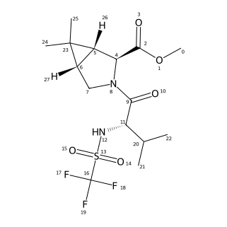 COC(=O)[C@@H]1[C@@H]2[C@H](CN1C(=O)[C@@H](NS(=O)(=O)C(F)(F)F)C(C)C)C2(C)C